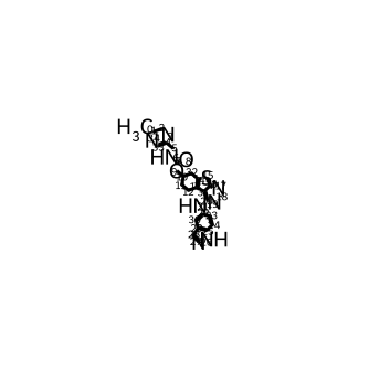 Cc1cnc(CNC(=O)OC2CCc3c(sc4ncnc(Nc5ccc6[nH]ncc6c5)c34)C2)cn1